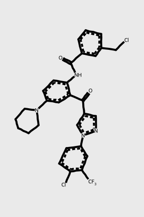 O=C(Nc1ccc(N2CCCCC2)cc1C(=O)c1cnn(-c2ccc(Cl)c(C(F)(F)F)c2)c1)c1cccc(CCl)c1